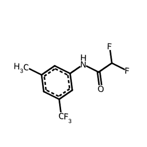 Cc1cc(NC(=O)C(F)F)cc(C(F)(F)F)c1